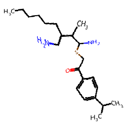 CCCCCCC(CN)C(C)C(N)SCC(=O)c1ccc(C(C)C)cc1